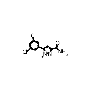 Cn1nc(C(N)=O)cc1-c1cc(Cl)cc(Cl)c1